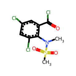 CN(c1c(Cl)cc(Cl)cc1C(=O)Cl)S(C)(=O)=O